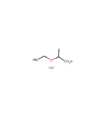 CCCCCOC(C)C(=O)O.Cl